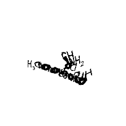 C#Cc1cc(C[C@@H](CC(=O)N2CCC(N3Cc4ccccc4NC3=O)CC2)C(=O)N2CCN(C3CCN(C)CC3)CC2)cc(Cl)c1N